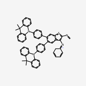 C=Nc1sc2cc(-c3ccc(N4c5ccccc5C(C)(C)c5ccccc54)cc3)c(-c3ccc(N4c5ccccc5C(C)(C)c5ccccc54)cc3)cc2c1/N=C1/C=CC=CC1